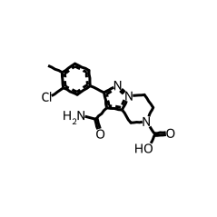 Cc1ccc(-c2nn3c(c2C(N)=O)CN(C(=O)O)CC3)cc1Cl